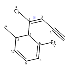 C#C/C=C(/Cl)C1C(CC)=CC=CC1C